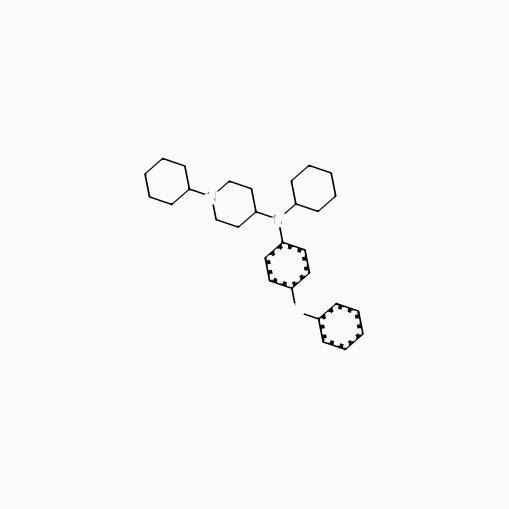 c1ccc(Oc2ccc(N(C3CCCCC3)C3CCN(C4CCCCC4)CC3)cc2)cc1